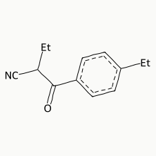 CCc1ccc(C(=O)C(C#N)CC)cc1